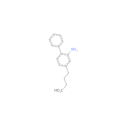 Nc1cc(CCCC(=O)O)ccc1-c1ccccc1